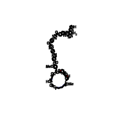 CO[C@H]1CC2CC[C@@H](C)[C@@](O)(O2)C(=O)C(=O)N2CCCC[C@H]2C(=O)O[C@H](CC[C@@H]2CC[C@@H](OC(=O)N3CCc4nc(N5CCN(c6ncc(C(=O)N7CCN(c8ncc(C(=O)N9CCc%10cc(CNc%11ncnc(N)c%11C(=N)c%11cnc%12[nH]ccc%12c%11)ccc%10C9)cn8)CC7)cn6)CC5)ncc4C3)[C@H](OC)C2)CC(=O)[C@H](C)/C=C(\C)[C@@H](O)CC(=O)[C@H](C)C[C@H](C)/C=C/C=C/C=C/1C